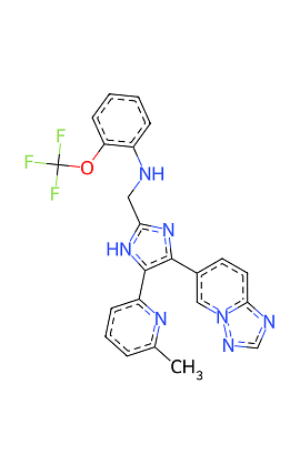 Cc1cccc(-c2[nH]c(CNc3ccccc3OC(F)(F)F)nc2-c2ccc3ncnn3c2)n1